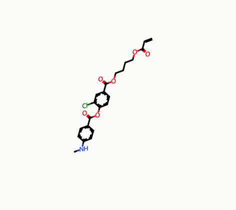 C=CC(=O)OCCCCOC(=O)c1ccc(OC(=O)c2ccc(NC)cc2)c(Cl)c1